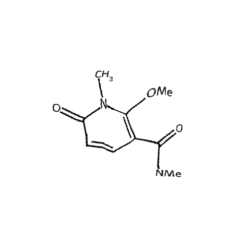 CNC(=O)c1ccc(=O)n(C)c1OC